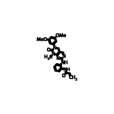 C=CC(=O)Nc1ccccc1Nc1ncc2c(n1)N(C)C(=O)N(c1cc(OC)cc(OC)c1)C2